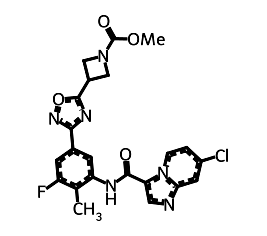 COC(=O)N1CC(c2nc(-c3cc(F)c(C)c(NC(=O)c4cnc5cc(Cl)ccn45)c3)no2)C1